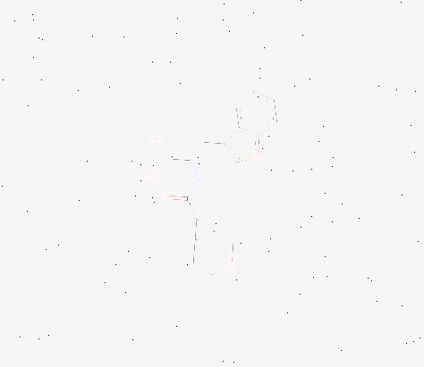 O=C(N[C@@H](Cc1coc2ccccc12)B(O)O)C1C2CCOCC21